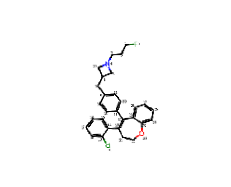 FCCCN1CC(Cc2ccc(C3=C(c4ccccc4Cl)CCOc4ccccc43)cc2)C1